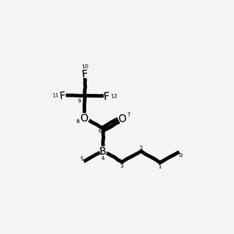 CCCCB(C)C(=O)OC(F)(F)F